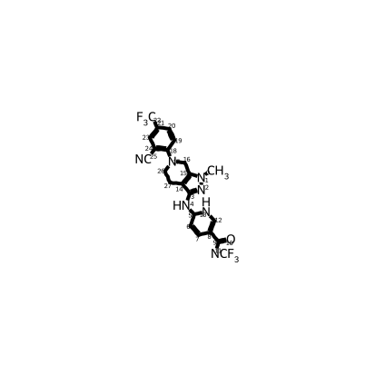 Cn1nc(NC2C=CC(C(=O)NC(F)(F)F)=CN2)c2c1CN(c1ccc(C(F)(F)F)cc1C#N)CC2